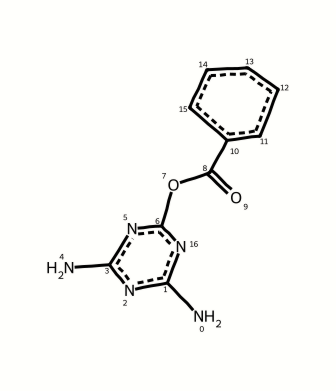 Nc1nc(N)nc(OC(=O)c2ccccc2)n1